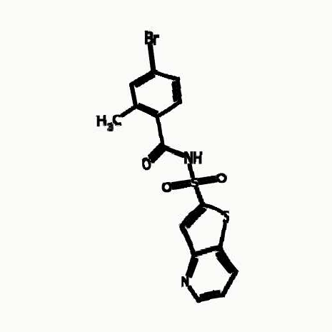 Cc1cc(Br)ccc1C(=O)NS(=O)(=O)c1cc2ncccc2s1